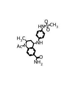 CC(=O)N1c2ccc(C(N)=O)cc2[C@H](Nc2ccc(NS(C)(=O)=O)cc2)C[C@@H]1C